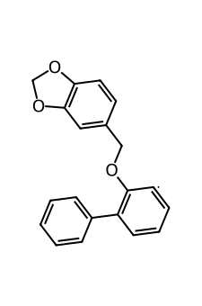 [c]1cccc(-c2ccccc2)c1OCc1ccc2c(c1)OCO2